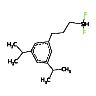 CC(C)c1cc(CCC[SiH](F)F)cc(C(C)C)c1